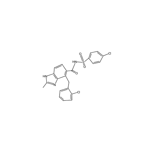 Cc1nc2c(Cc3ccccc3Cl)c(C(=O)NS(=O)(=O)c3ccc(Cl)cc3)ccc2[nH]1